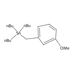 CCC[CH2][Sn]([CH2]CCC)([CH2]CCC)[CH2]c1cccc(OC)c1